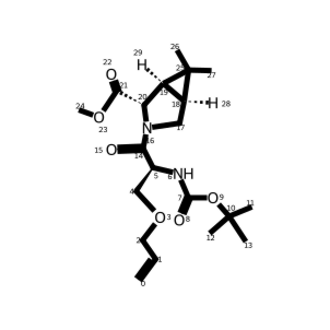 C=CCOC[C@H](NC(=O)OC(C)(C)C)C(=O)N1C[C@H]2[C@@H]([C@H]1C(=O)OC)C2(C)C